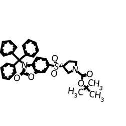 CC(C)(C)OC(=O)N1CC[C@H](S(=O)(=O)c2ccc3c(c2)oc(=O)n3C(c2ccccc2)(c2ccccc2)c2ccccc2)C1